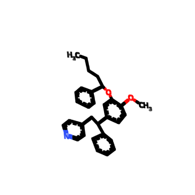 CCCCC(Oc1cc(C(Cc2ccncc2)c2ccccc2)ccc1OC)c1ccccc1